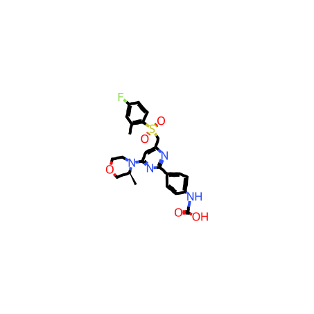 Cc1cc(F)ccc1S(=O)(=O)Cc1cc(N2CCOC[C@@H]2C)nc(-c2ccc(NC(=O)O)cc2)n1